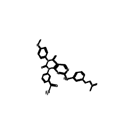 COc1ccc(N2C(=O)N(c3cccc(C(N)=O)c3)c3nc(Nc4cccc(CCN(C)C)c4)ncc3C2C)cc1